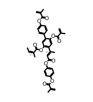 C=C(C)C(=O)Oc1ccc(OC(=O)/C=C(\C)c2cc(OC(=O)C(=C)C)c(-c3ccc(OC(=O)C(=C)C)cc3)cc2OC(=O)/C(C)=C\C)cc1